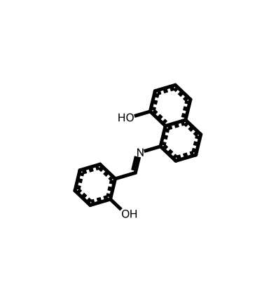 Oc1ccccc1C=Nc1cccc2cccc(O)c12